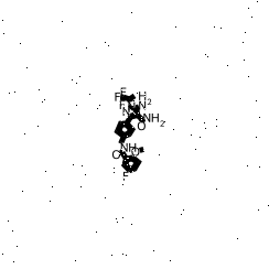 COc1ccc(F)cc1C(=O)NCc1ccc(-c2nn(C(C)C(F)(F)F)c(N)c2C(N)=O)cc1